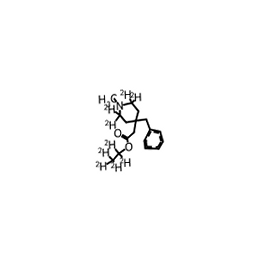 [2H]C1([2H])CC(CC(=O)OC([2H])([2H])C([2H])([2H])[2H])(Cc2ccccc2)CC([2H])([2H])N1C